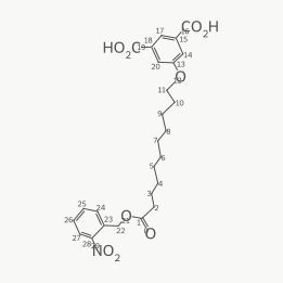 O=C(CCCCCCCCCCOc1cc(C(=O)O)cc(C(=O)O)c1)OCc1ccccc1[N+](=O)[O-]